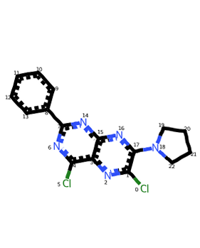 Clc1nc2c(Cl)nc(-c3ccccc3)nc2nc1N1CCCC1